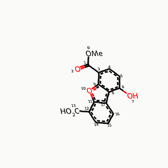 COC(=O)c1ccc(O)c2c1oc1c(C(=O)O)cccc12